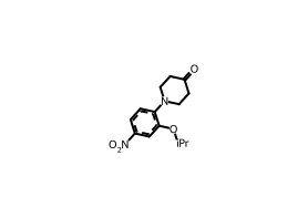 CC(C)Oc1cc([N+](=O)[O-])ccc1N1CCC(=O)CC1